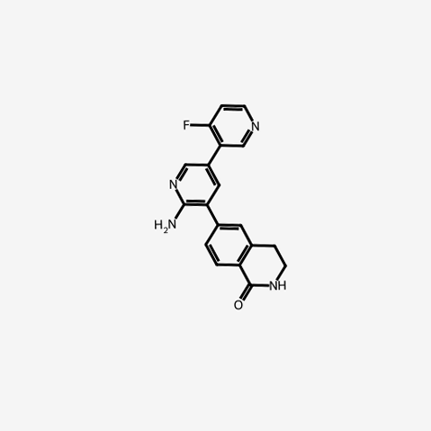 Nc1ncc(-c2cnccc2F)cc1-c1ccc2c(c1)CCNC2=O